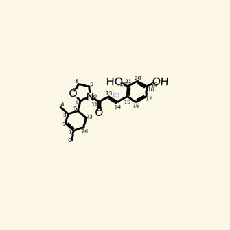 CC1=CC(C)C(C2OCCN2C(=O)/C=C/c2ccc(O)cc2O)CC1